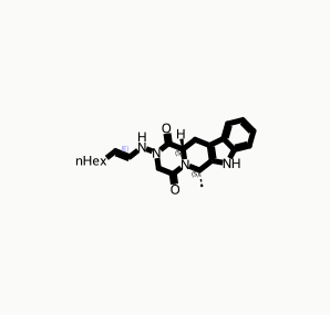 CCCCCC/C=C/NN1CC(=O)N2[C@@H](Cc3c([nH]c4ccccc34)[C@@H]2C)C1=O